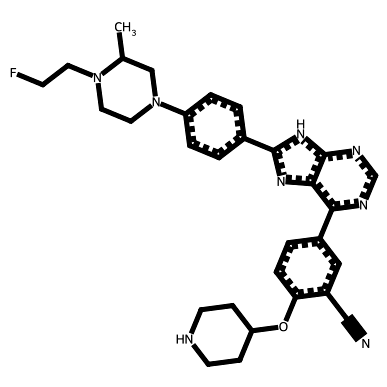 CC1CN(c2ccc(-c3nc4c(-c5ccc(OC6CCNCC6)c(C#N)c5)ncnc4[nH]3)cc2)CCN1CCF